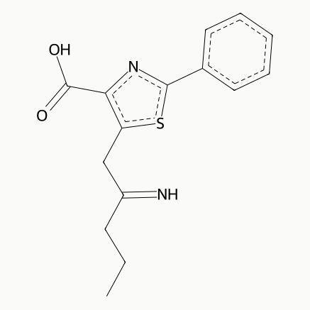 CCCC(=N)Cc1sc(-c2ccccc2)nc1C(=O)O